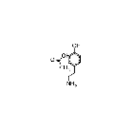 CC(=O)O.NCCc1ccc(O)cc1